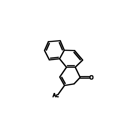 CC(=O)C1=Cc2c(ccc3ccccc23)C(=O)C1